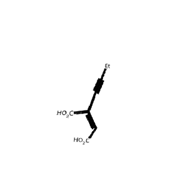 CCC#CC(=CC(=O)O)C(=O)O